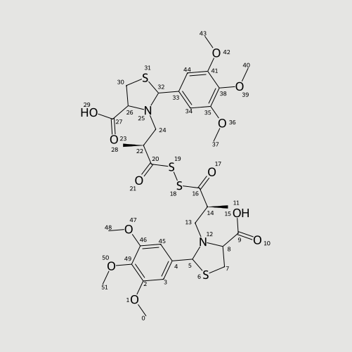 COc1cc(C2SCC(C(=O)O)N2C[C@H](C)C(=O)SSC(=O)[C@@H](C)CN2C(C(=O)O)CSC2c2cc(OC)c(OC)c(OC)c2)cc(OC)c1OC